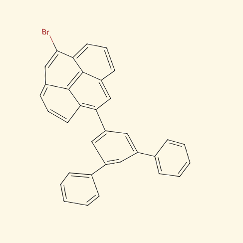 Brc1cc2cccc3c(-c4cc(-c5ccccc5)cc(-c5ccccc5)c4)cc4cccc1c4c23